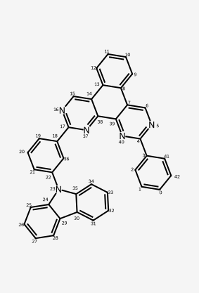 c1ccc(-c2ncc3c4ccccc4c4cnc(-c5cccc(-n6c7ccccc7c7ccccc76)c5)nc4c3n2)cc1